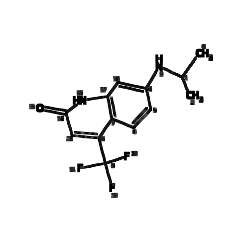 CC(C)Nc1ccc2c(C(F)(F)F)cc(=O)[nH]c2c1